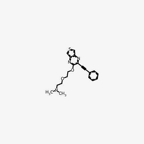 CN(C)CCOCCOc1nc2cscc2nc1C#Cc1ccccc1